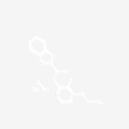 CCO.Cc1c(OCC(F)(F)F)ccnc1C[S+]([O-])c1nc2ccccc2[nH]1.O